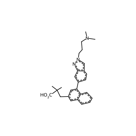 CN(C)CCCn1cc2ccc(-c3cc(CC(C)(C)C(=O)O)cc4ccccc34)cc2n1